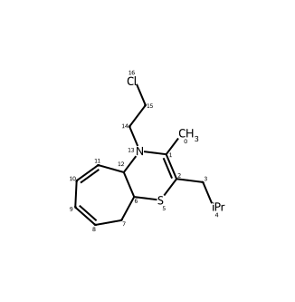 CC1=C(CC(C)C)SC2CC=CC=CC2N1CCCl